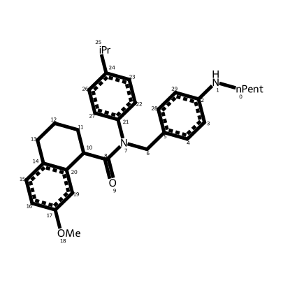 CCCCCNc1ccc(CN(C(=O)C2CCCc3ccc(OC)cc32)c2ccc(C(C)C)cc2)cc1